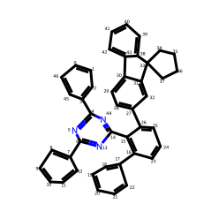 c1ccc(-c2nc(-c3ccccc3)nc(-c3c(-c4ccccc4)cccc3-c3ccc4c(c3)C3(CCCC3)c3ccccc3-4)n2)cc1